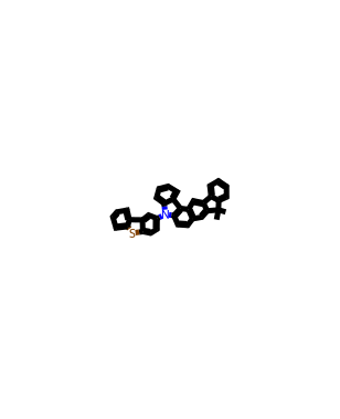 CC1(C)c2ccccc2-c2cc3c(ccc4c3c3ccccc3n4-c3ccc4sc5ccccc5c4c3)cc21